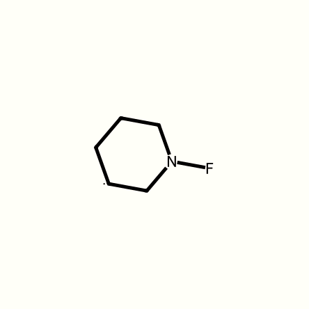 FN1C[CH]CCC1